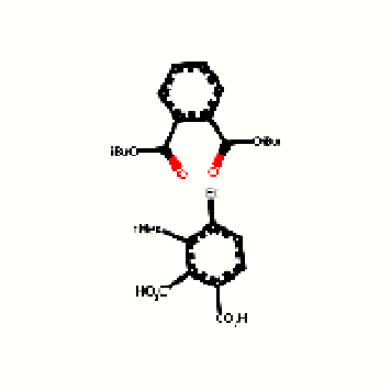 CC(C)COC(=O)c1ccccc1C(=O)OCC(C)C.CCCCCCc1c(CC)ccc(C(=O)O)c1C(=O)O